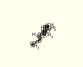 Cc1cc(Nc2ncc(Cl)c(Nc3ccccc3S(=O)(=O)C(C)C)n2)c(OC(C)C)cc1C1CCN(C(=O)COCCOCC(N)=O)CC1